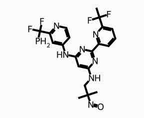 CC(C)(CNc1cc(Nc2ccnc(C(F)(F)P)c2)nc(-c2cccc(C(C)(F)F)n2)n1)N=O